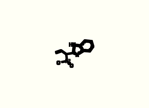 C=CC(c1nc2ccccc2[nH]1)[N+](=O)[O-]